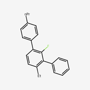 CCCc1ccc(-c2ccc(CC)c(-c3ccccc3)c2F)cc1